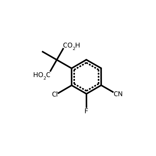 CC(C(=O)O)(C(=O)O)c1ccc(C#N)c(F)c1Cl